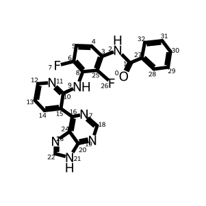 O=C(Nc1ccc(F)c(Nc2ncccc2-c2ncnc3[nH]cnc23)c1F)c1ccccc1